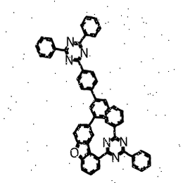 c1ccc(-c2nc(-c3ccccc3)nc(-c3ccc(-c4cccc(-c5ccc6oc7cccc(-c8nc(-c9ccccc9)nc(-c9ccccc9)n8)c7c6c5)c4)cc3)n2)cc1